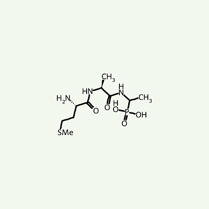 CSCC[C@H](N)C(=O)N[C@@H](C)C(=O)NC(C)P(=O)(O)O